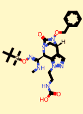 CN/C(=N\O[Si](C)(C)C(C)(C)C)[C@@H]1c2c(cnn2CCNC(=O)O)[C@@H]2CN1C(=O)N2OCc1ccccc1